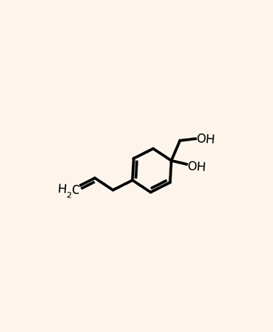 C=CCC1=CCC(O)(CO)C=C1